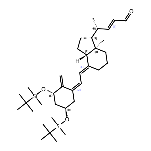 C=C1/C(=C\C=C2/CCC[C@]3(C)[C@@H]([C@H](C)/C=C/C=O)CC[C@@H]23)C[C@@H](O[Si](C)(C)C(C)(C)C)C[C@@H]1O[Si](C)(C)C(C)(C)C